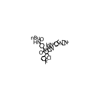 CCCCC(=O)N[C@H]1CC[C@@H](n2c(=O)c(-c3cccc(F)c3Cl)c(C)c3cnc(Nc4ccc(N5CCN(C)CC5)c(C)c4)nc32)CC1